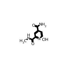 CNC(=O)c1cc(C(N)=O)ccn1.Cl